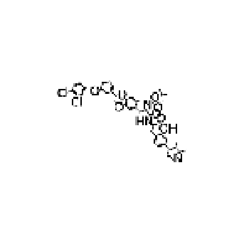 Cc1nccc(-c2ccc(CC(NC(=O)C3Cc4cc5c(cc4CN3C(=O)OC(C)(C)C)OC(c3cccc(OCc4ccc(Cl)c(Cl)c4)c3)CO5)C(=O)O)cc2)c1C